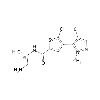 C[C@@H](CN)NC(=O)c1cc(-c2c(Cl)cnn2C)c(Cl)s1